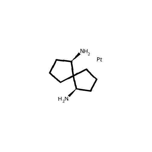 N[C@@H]1CCCC12CCC[C@H]2N.[Pt]